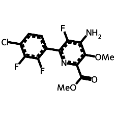 COC(=O)c1nc(-c2ccc(Cl)c(F)c2F)c(F)c(N)c1OC